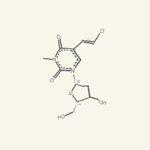 Cn1c(=O)c(/C=C/Cl)cn([C@@H]2CC(O)[C@H](CO)O2)c1=O